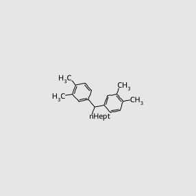 CCCCCCCC(c1ccc(C)c(C)c1)c1ccc(C)c(C)c1